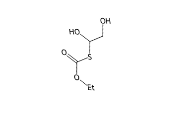 CCOC(=O)SC(O)CO